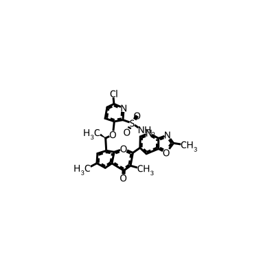 Cc1cc([C@@H](C)Oc2ccc(Cl)nc2S(N)(=O)=O)c2oc(-c3cnc4nc(C)oc4c3)c(C)c(=O)c2c1